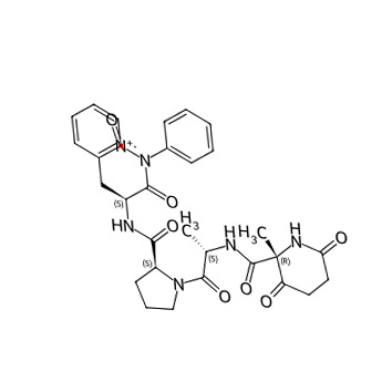 C[C@H](NC(=O)[C@]1(C)NC(=O)CCC1=O)C(=O)N1CCC[C@H]1C(=O)N[C@@H](Cc1ccccc1)C(=O)N([N+]=O)c1ccccc1